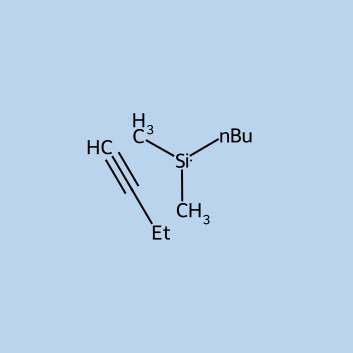 C#CCC.CCCC[Si](C)C